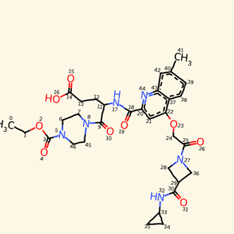 CCOC(=O)N1CCN(C(=O)C(CCC(=O)O)NC(=O)c2cc(OCC(=O)N3CC(C(=O)NC4CC4)C3)c3ccc(C)cc3n2)CC1